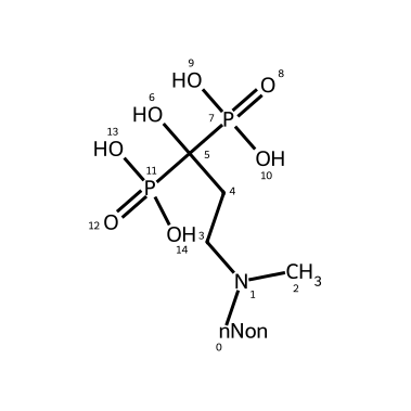 CCCCCCCCCN(C)CCC(O)(P(=O)(O)O)P(=O)(O)O